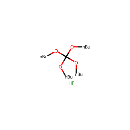 CCCCOC(OCCCC)(OCCCC)OCCCC.F